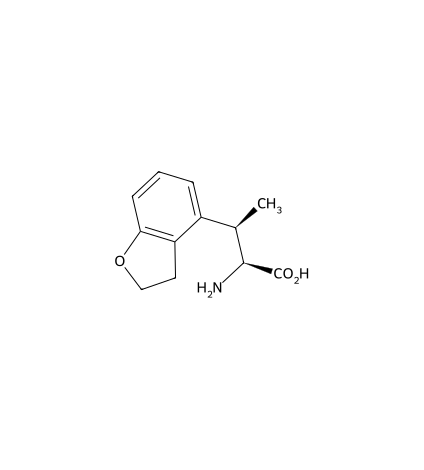 C[C@H](c1cccc2c1CCO2)[C@H](N)C(=O)O